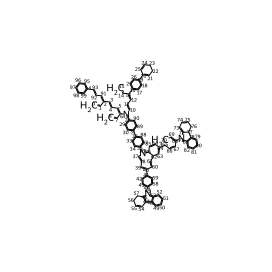 C=CC(/C=C/C=C(\C=C)N(/C=C/C=C(\C=C)c1ccc(C2=CCCC=C2)cc1)c1ccc(-c2ccc(N3/C=C/C=C(c4ccc(-n5c6c(c7ccccc75)C=CCC6)cc4)\C=C\C4C=C(C/C=C\C(=C/C)N5C6=CC=CCC6c6ccccc65)C=CC43)cc2)cc1)=C\C=C\c1ccccc1